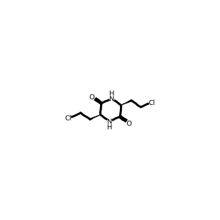 O=C1N[C@@H](CCCl)C(=O)N[C@H]1CCCl